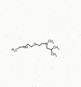 CCNCCOCCN(C)CC(C)C